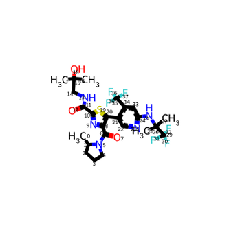 CC1CCCN1C(=O)c1nc(C(=O)NCC(C)(C)O)sc1-c1cnc(NC(C)(C)C(F)(F)F)cc1C(F)(F)F